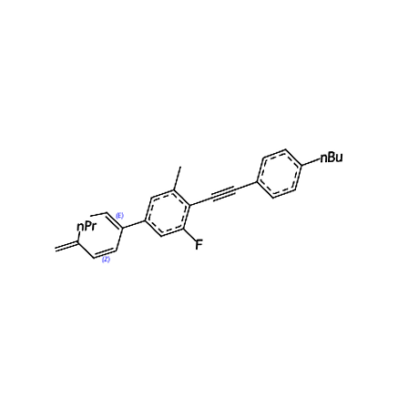 C=C(/C=C\C(=C/C)c1cc(C)c(C#Cc2ccc(CCCC)cc2)c(F)c1)CCC